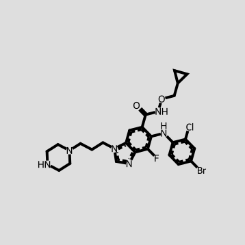 O=C(NOCC1CC1)c1cc2c(ncn2CCCN2CCNCC2)c(F)c1Nc1ccc(Br)cc1Cl